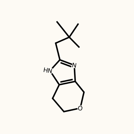 CC(C)(C)Cc1nc2c([nH]1)CCOC2